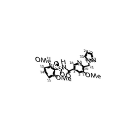 COc1cc(C(=O)NS(=O)(=O)c2c(OC)cccc2OC)cnc1Cn1cccn1